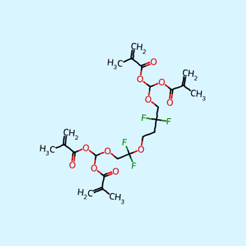 C=C(C)C(=O)OC(OCC(F)(F)CCOC(F)(F)COC(OC(=O)C(=C)C)OC(=O)C(=C)C)OC(=O)C(=C)C